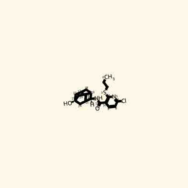 CCCSc1nc(Cl)ccc1C(=O)N[C@H]1C2CC3CC1C[C@@](O)(C3)C2